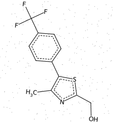 Cc1nc(CO)sc1-c1ccc(C(F)(F)F)cc1